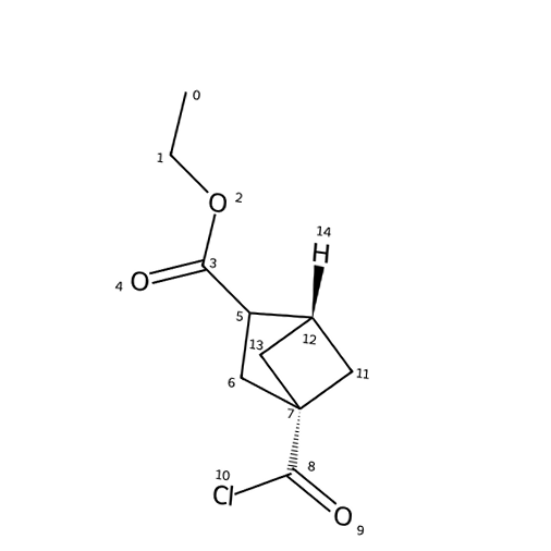 CCOC(=O)C1C[C@]2(C(=O)Cl)C[C@@H]1C2